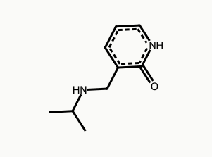 CC(C)NCc1ccc[nH]c1=O